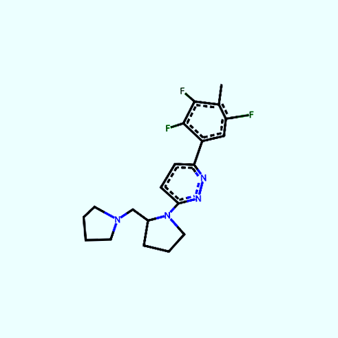 Cc1c(F)cc(-c2ccc(N3CCCC3CN3CCCC3)nn2)c(F)c1F